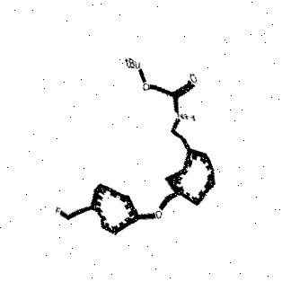 CC(C)(C)OC(=O)NCc1cccc(Oc2ccc(F)cc2)c1